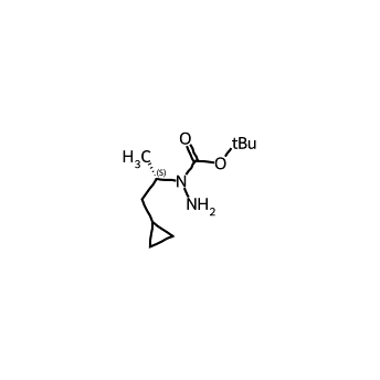 C[C@@H](CC1CC1)N(N)C(=O)OC(C)(C)C